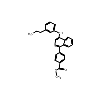 CCCc1cccc(Nc2cnc(-c3ccc(C(=O)OC)cc3)c3ccccc23)c1